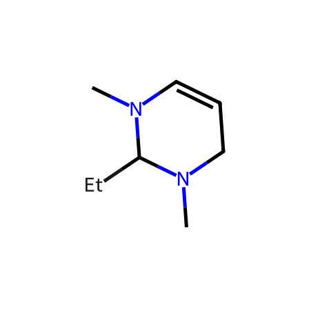 CCC1N(C)C=CCN1C